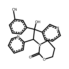 N#Cc1cccc(C(O)(c2cccnc2)C(c2ccccn2)N2CCCOC2=O)c1